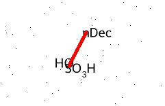 CCCCCCCCCCCCCCCCCCCCCCCCCCCCCCCCCCCCCCCCCCCCCC(O)CCCCS(=O)(=O)O